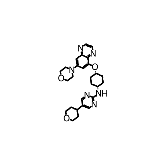 c1cnc2c(O[C@H]3CC[C@@H](Nc4ncc(C5CCOCC5)cn4)CC3)cc(N3CCOCC3)cc2n1